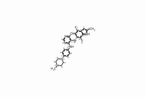 Cc1cc2c(F)c(Oc3ncnc(Nc4ccc(N5CCN(C)CC5)cc4)c3Br)cc(F)c2[nH]1